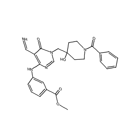 COC(=O)c1cccc(Nc2ncn(CC3(O)CCN(C(=O)c4ccccc4)CC3)c(=O)c2C=N)c1